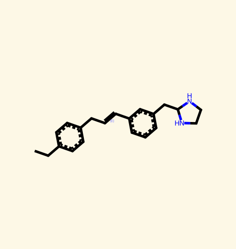 CCc1ccc(C/C=C/c2cccc(CC3NCCN3)c2)cc1